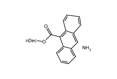 CCCCCCCCCCOC(=O)c1c2ccccc2cc2ccccc12.N